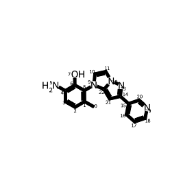 Cc1ccc(N)c(O)c1-n1ccn2nc(-c3cccnc3)cc12